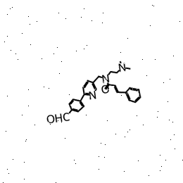 CN(C)CCN(Cc1ccc(-c2ccc(C=O)cc2)nc1)C(=O)/C=C/c1ccccc1